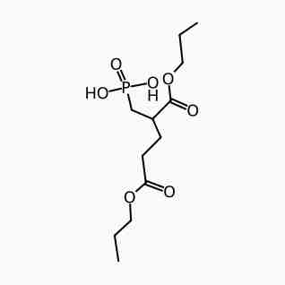 CCCOC(=O)CCC(CP(=O)(O)O)C(=O)OCCC